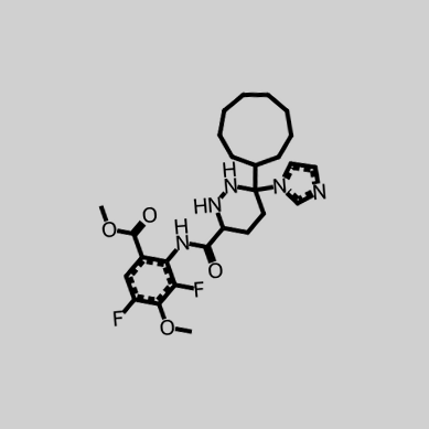 COC(=O)c1cc(F)c(OC)c(F)c1NC(=O)C1CCC(C2CCCCCCCC2)(n2ccnc2)NN1